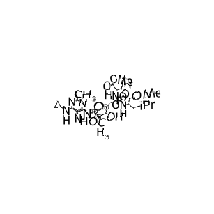 COC(=O)C(CC(C)C)NP(=O)(NC(CC(C)C)C(=O)OC)OC[C@H]1O[C@@H](n2cnc3c(NC4CC4)nc(C)nc32)[C@@](C)(O)C1O